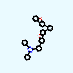 c1ccc(-c2nc(-c3ccccc3)nc(-c3cccc(-c4ccc5c(c4)oc4ccc(-c6ccccc6-c6ccc7c(c6)oc6ccccc67)cc45)c3)n2)cc1